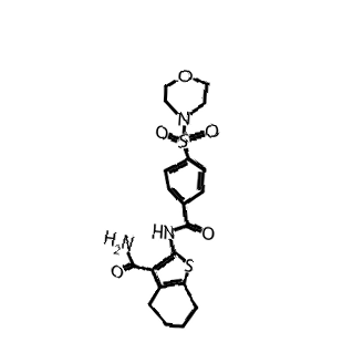 NC(=O)c1c(NC(=O)c2ccc(S(=O)(=O)N3CCOCC3)cc2)sc2c1CCCC2